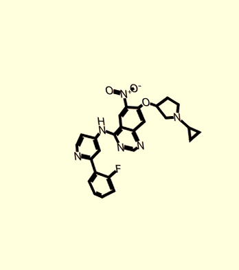 O=[N+]([O-])c1cc2c(Nc3ccnc(-c4ccccc4F)c3)ncnc2cc1OC1CCN(C2CC2)C1